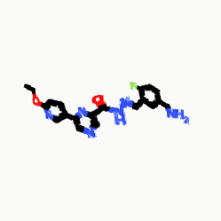 CCOc1ccc(-c2cncc(C(=O)N/N=C/c3cc(CN)ccc3F)n2)cn1